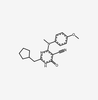 COc1ccc(N(C)c2nc(CC3CCCC3)[nH]c(=O)c2C#N)cc1